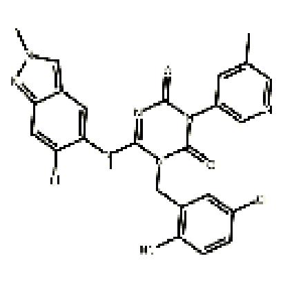 Cc1cncc(-n2c(=O)nc(Nc3cc4cn(C)nc4cc3Cl)n(Cc3cc(Cl)ccc3C#N)c2=O)c1